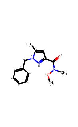 CON(C)C(=O)c1cc(C)n(Cc2ccccc2)n1